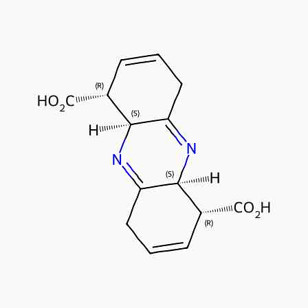 O=C(O)[C@@H]1C=CCC2=N[C@@H]3C(=N[C@H]21)CC=C[C@H]3C(=O)O